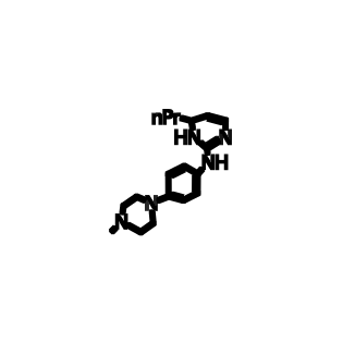 CCCC1C=CN=C(Nc2ccc(N3CCN(C)CC3)cc2)N1